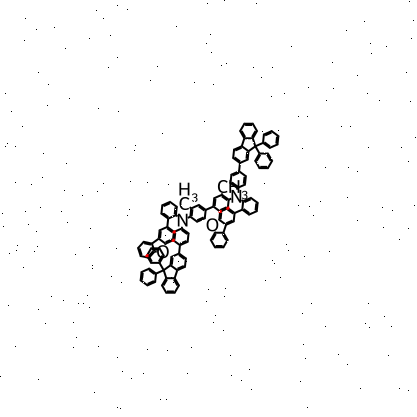 Cc1cc(-c2ccc(N(c3ccc(-c4ccc5c(c4)C(c4ccccc4)(c4ccccc4)c4ccccc4-5)cc3)c3ccccc3-c3ccc4oc5ccccc5c4c3)c(C)c2)ccc1N(c1ccc(-c2ccc3c(c2)C(c2ccccc2)(c2ccccc2)c2ccccc2-3)cc1)c1ccccc1-c1ccc2oc3ccccc3c2c1